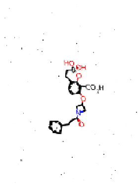 O=C(O)c1c(OC2CN(C(=O)CCc3ccccc3)C2)ccc2c1O[B-](O)(O)CC2